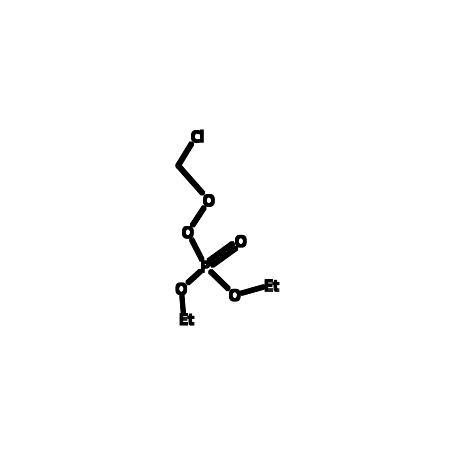 CCOP(=O)(OCC)OOCCl